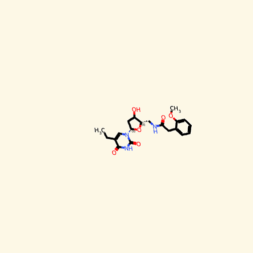 CCc1cn([C@@H]2CC(O)[C@H](CNC(=O)Cc3ccccc3OC)O2)c(=O)[nH]c1=O